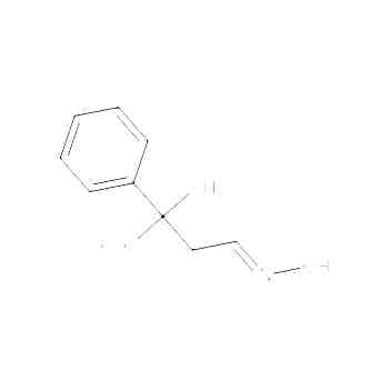 CC(CC=NO)(C(=O)O)c1ccccc1